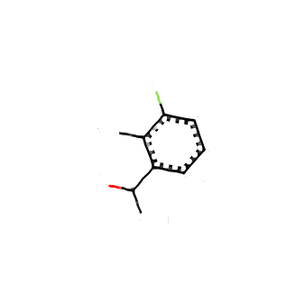 CC(=O)Oc1c(F)cccc1C(O)C(=O)O.Cl